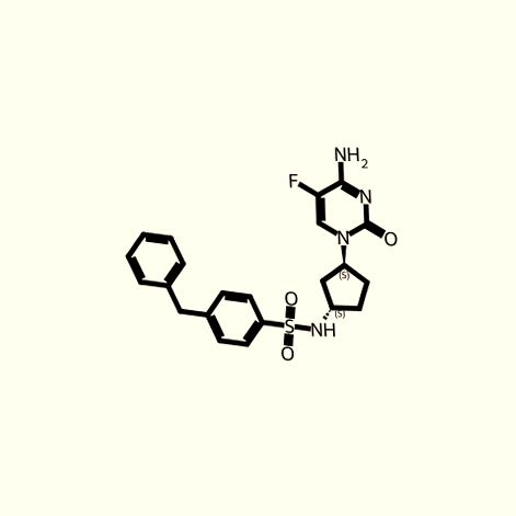 Nc1nc(=O)n([C@H]2CC[C@H](NS(=O)(=O)c3ccc(Cc4ccccc4)cc3)C2)cc1F